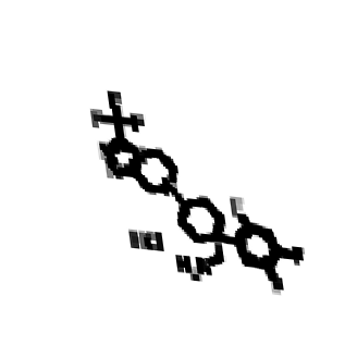 Cl.NC[C@]1(c2cc(F)c(F)cc2F)CC[C@@H](N2CCn3c(nnc3C(F)(F)F)C2)CC1